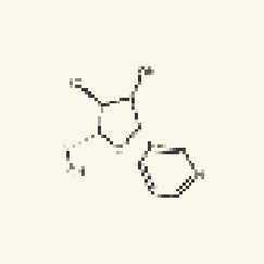 OC[C@H]1OC[C@H](O)[C@@H]1O.c1cncnc1